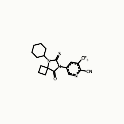 N#Cc1ncc(N2C(=O)C3(CCC3)N(C3CCCCC3)C2=S)cc1C(F)(F)F